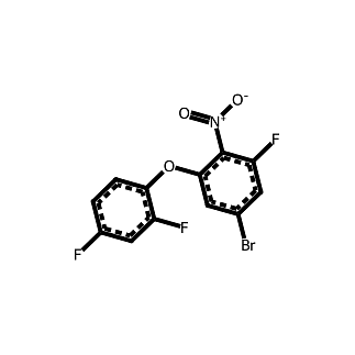 O=[N+]([O-])c1c(F)cc(Br)cc1Oc1ccc(F)cc1F